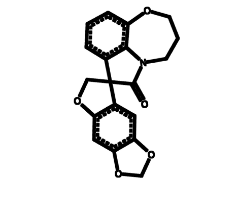 O=C1N2CCCOc3cccc(c32)C12COc1cc3c(cc12)OCO3